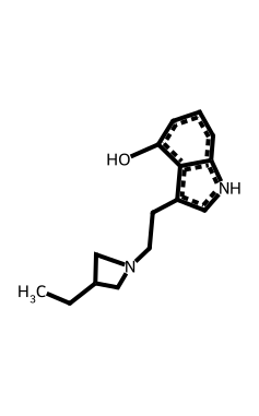 CCC1CN(CCc2c[nH]c3cccc(O)c23)C1